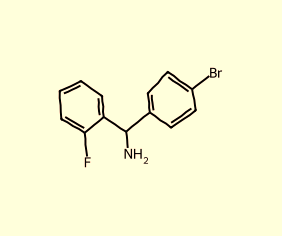 NC(c1ccc(Br)cc1)c1ccccc1F